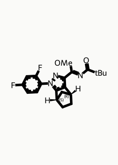 COC(=NC(=O)C(C)(C)C)c1nn(-c2ccc(F)cc2F)c2c1[C@@H]1CC[C@H]2C1